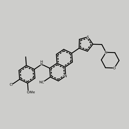 COc1cc(Nc2c(C#N)cnc3cc(-c4csc(CN5CCOCC5)c4)ccc23)c(C)cc1Cl